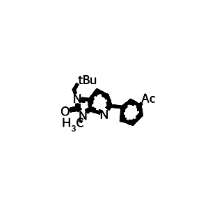 CC(=O)c1cccc(-c2ccc3c(n2)n(C)c(=O)n3CC(C)(C)C)c1